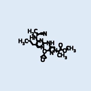 C=C(C#N)Nc1nc(Nc2cn(C(C)C(=O)OC)nc2OC2COC2)ncc1CCC